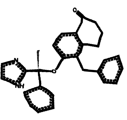 C[C@](Oc1ccc2c(c1Cc1ccccc1)CCCC2=O)(c1ccccc1)c1ncc[nH]1